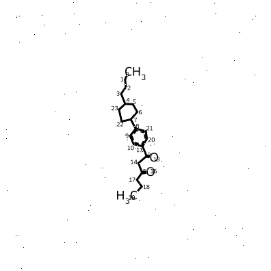 CCCCC1CCC(c2ccc(C(=O)CC(=O)CCC)cc2)CC1